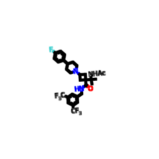 CC(=O)NC(C)(C)C1(C(=O)NCc2cc(C(F)(F)F)cc(C(F)(F)F)c2)CC(N2CCC(c3ccc(F)cc3)CC2)C1